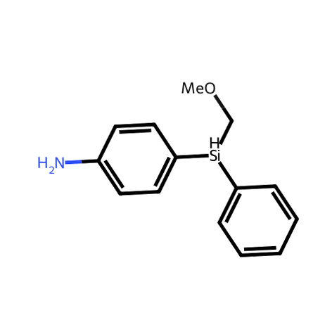 COC[SiH](c1ccccc1)c1ccc(N)cc1